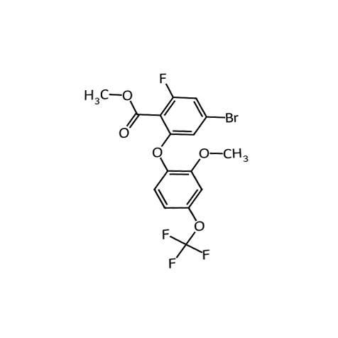 COC(=O)c1c(F)cc(Br)cc1Oc1ccc(OC(F)(F)F)cc1OC